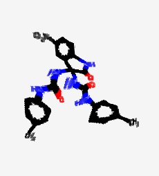 Cc1ccc(NC(=O)NC2(NC(=O)Nc3ccc(C)cc3)C(=O)Nc3ccc([N+](=O)[O-])cc32)cc1